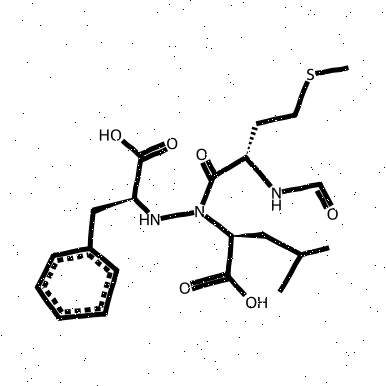 CSCC[C@H](NC=O)C(=O)N(N[C@@H](Cc1ccccc1)C(=O)O)[C@@H](CC(C)C)C(=O)O